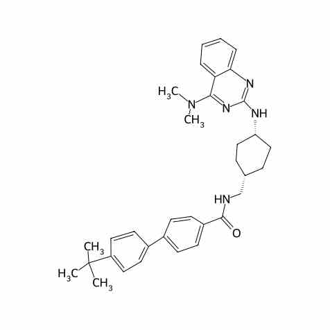 CN(C)c1nc(N[C@H]2CC[C@@H](CNC(=O)c3ccc(-c4ccc(C(C)(C)C)cc4)cc3)CC2)nc2ccccc12